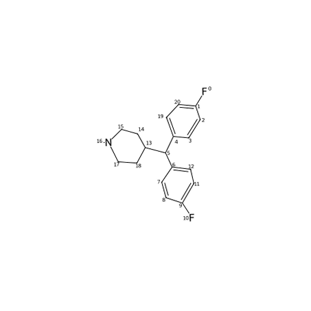 Fc1ccc(C(c2ccc(F)cc2)C2CC[N]CC2)cc1